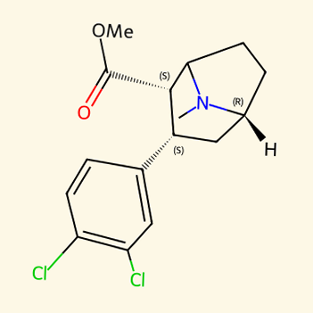 COC(=O)[C@@H]1C2CC[C@H](C[C@@H]1c1ccc(Cl)c(Cl)c1)N2C